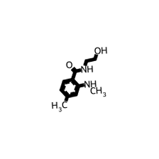 CNc1cc(C)ccc1C(=O)NCCO